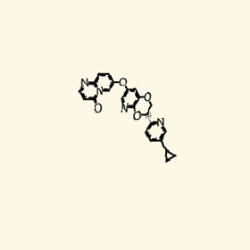 O=c1ccnc2ccc(Oc3cnc4c(c3)OC[C@H](c3ccc(C5CC5)cn3)O4)cn12